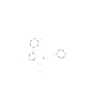 Cn1cc(-c2cccc(C(F)(F)F)c2)nc1C1CCCCN1C(=O)OCc1ccccc1